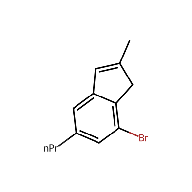 CCCc1cc(Br)c2c(c1)C=C(C)C2